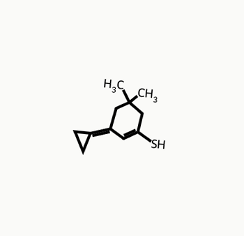 CC1(C)CC(S)=CC(=C2CC2)C1